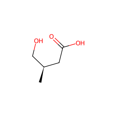 C[C@@H](CO)CC(=O)O